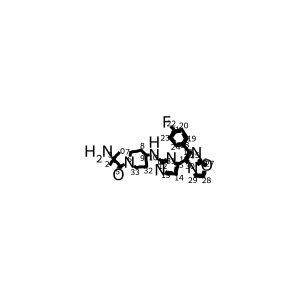 CC(C)(N)C(=O)N1CCC(Nc2nccc(-c3c(-c4ccc(F)cc4)nc4occn34)n2)CC1